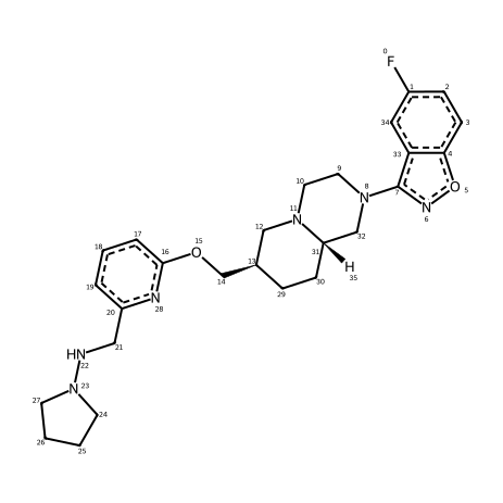 Fc1ccc2onc(N3CCN4C[C@H](COc5cccc(CNN6CCCC6)n5)CC[C@H]4C3)c2c1